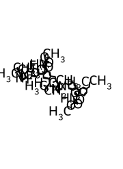 CCOC(=O)NS(=O)(=O)c1ccc(CC(C)C)cc1-c1ccc(Cn2ccnc2C(C)(C)Cc2cc(S(=O)(=O)NC(=O)OC)c(-c3cc(F)c(Cn4ccnc4C(C)(C)C)c(F)c3)cc2CC(C)C)cc1